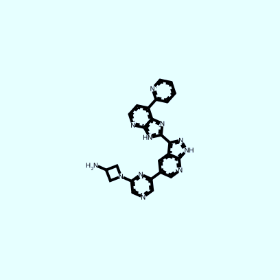 NC1CN(c2cncc(-c3cnc4[nH]nc(-c5nc6c(-c7ccccn7)ccnc6[nH]5)c4c3)n2)C1